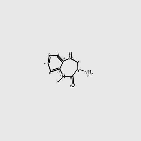 CN1C(=O)[C@@H](N)CNc2ccccc21